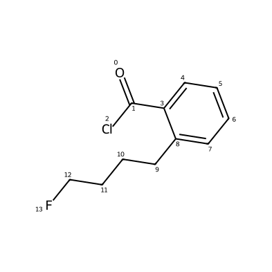 O=C(Cl)c1ccccc1CCCCF